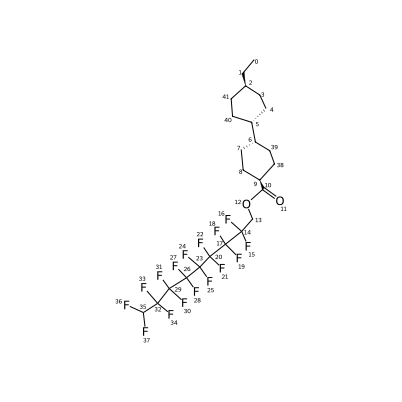 CC[C@H]1CC[C@H]([C@H]2CC[C@H](C(=O)OCC(F)(F)C(F)(F)C(F)(F)C(F)(F)C(F)(F)C(F)(F)C(F)(F)C(F)F)CC2)CC1